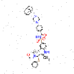 C[C@H](CC(Sc1ccccc1)N1CCOCC1)Nc1ccc(S(=O)(=O)NC(=O)c2ccc(N3CCN(CC45CC6CC(CC(C6)C4)C5)CC3)cc2)cc1[N+](=O)[O-]